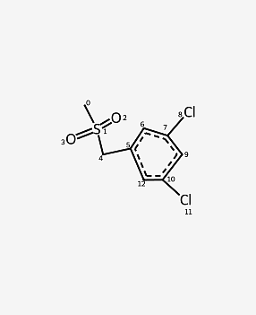 CS(=O)(=O)Cc1cc(Cl)cc(Cl)c1